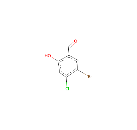 O=Cc1cc(Br)c(Cl)cc1O